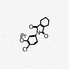 CC(C)Oc1cc(N2C(=O)C3=C(CCCC3)C2=O)ccc1Cl